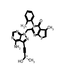 Cc1ccccc1-n1c(Cn2nc(C#C[C@H](C)O)c3c(N)ncnc32)nc2scc(C)c2c1=O